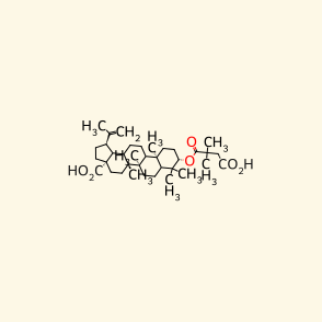 C=C(C)[C@@H]1CC[C@]2(C(=O)O)CC[C@]3(C)C(CCC4[C@@]5(C)CC[C@H](OC(=O)C(C)(C)CC(=O)O)C(C)(C)C5CC[C@]43C)C12